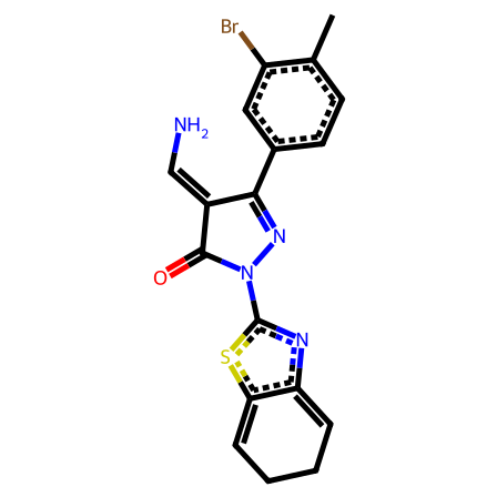 Cc1ccc(C2=NN(c3nc4c(s3)=CCCC=4)C(=O)/C2=C/N)cc1Br